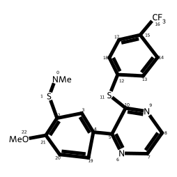 CNSc1cc(-c2nccnc2Sc2ccc(C(F)(F)F)cc2)ccc1OC